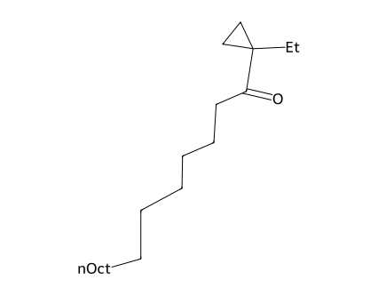 CCCCCCCCCCCCCCC(=O)C1(CC)CC1